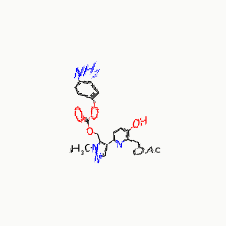 CC(=O)OCc1nc(-c2cnn(C)c2COC(=O)Oc2ccc(N)cc2)ccc1O